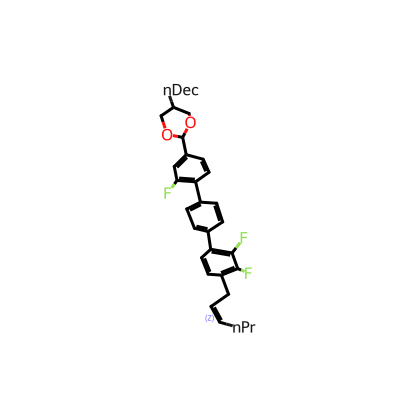 CCC/C=C\Cc1ccc(-c2ccc(-c3ccc(C4OCC(CCCCCCCCCC)CO4)cc3F)cc2)c(F)c1F